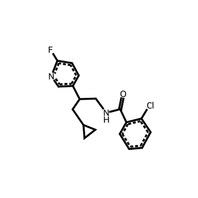 O=C(NCC(CC1CC1)c1ccc(F)nc1)c1ccccc1Cl